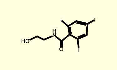 O=C(NCCO)c1c(I)cc(I)cc1I